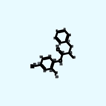 CC(Cc1ccccc1)C(=O)Oc1ccc(Br)cc1F